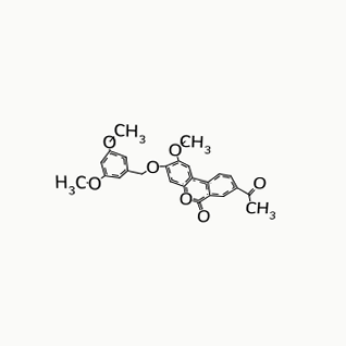 COc1cc(COc2cc3oc(=O)c4cc(C(C)=O)ccc4c3cc2OC)cc(OC)c1